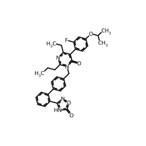 CCCc1nc(CC)c(-c2ccc(OC(C)C)cc2F)c(=O)n1Cc1ccc(-c2ccccc2-c2noc(=O)[nH]2)cc1